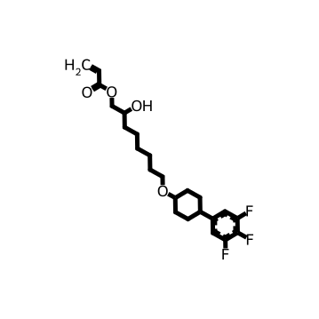 C=CC(=O)OCC(O)CCCCCCOC1CCC(c2cc(F)c(F)c(F)c2)CC1